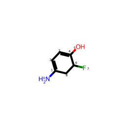 NC1=CC=C(O)C(F)C1